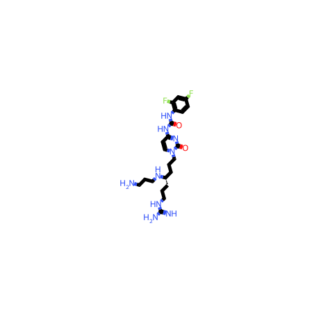 N=C(N)NCCC[C@@H](CCCn1ccc(NC(=O)Nc2ccc(F)cc2F)nc1=O)NCCCN